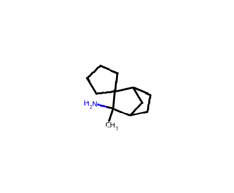 CC1(N)C2CCC(C2)C12CCCC2